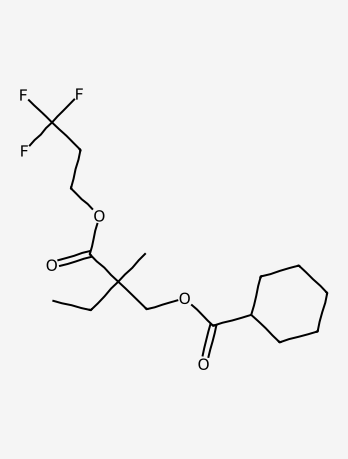 CCC(C)(COC(=O)C1CCCCC1)C(=O)OCCC(F)(F)F